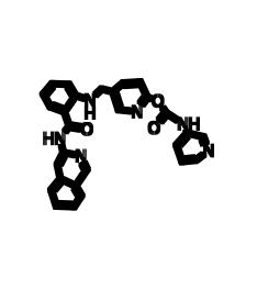 O=C(Nc1cccnc1)Oc1ccc(CNc2ccccc2C(=O)Nc2cc3ccccc3cn2)cn1